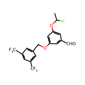 CC(F)Oc1cc(C=O)cc(OCc2cc(C(F)(F)F)cc(C(F)(F)F)c2)c1